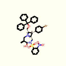 C=C(CO)CN1[C@H](COC(c2ccccc2)(c2ccccc2)c2ccccc2)[C@H](c2ccc(Br)cc2)[C@@H]1CNS(=O)(=O)c1ccccc1[N+](=O)[O-]